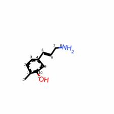 Cc1ccc(/C=C/CN)cc1O